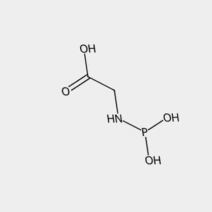 O=C(O)CNP(O)O